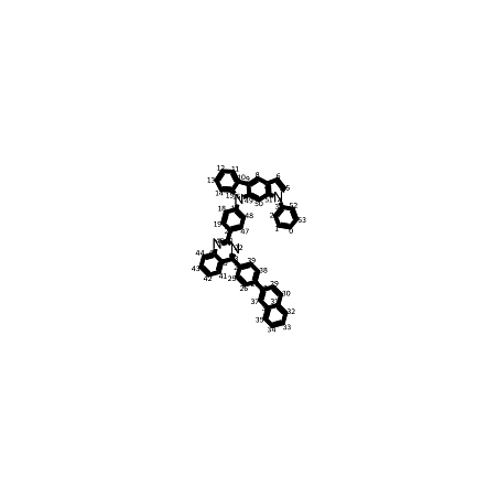 c1ccc(-n2ccc3cc4c5ccccc5n(-c5ccc(-c6nc(-c7ccc(-c8ccc9ccccc9c8)cc7)c7ccccc7n6)cc5)c4cc32)cc1